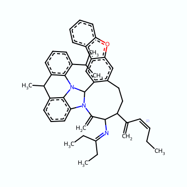 C=C(/C=C\CC)C1CCc2cc3oc4ccccc4c3cc2C2N(C(=C)C1N=C(CC)CC)c1cccc3c1N2c1c(C(C)C)cccc1C3C